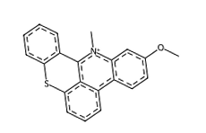 COc1ccc2c3cccc4c3c([n+](C)c2c1)-c1ccccc1S4